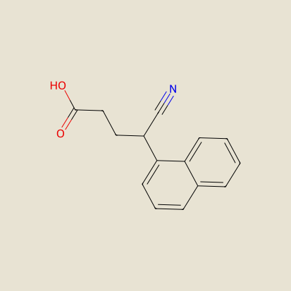 N#CC(CCC(=O)O)c1cccc2ccccc12